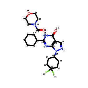 O=C([C@H]1CCCC[C@@H]1c1nc2c(cnn2C2CCC(F)(F)CC2)c(=O)[nH]1)N1CCOCC1